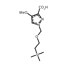 COc1cn(COCC[Si](C)(C)C)nc1C(=O)O